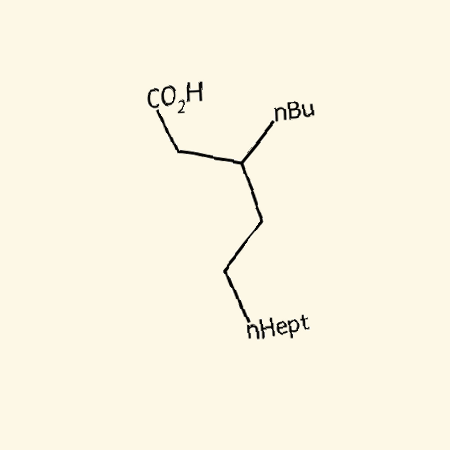 CCCCCCCCCC(CCCC)CC(=O)O